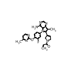 C=CC(=O)N1CC=C(c2c(C)c3ncnc(N)c3n2-c2ccc(Oc3nccc(C)n3)c(F)c2)C1